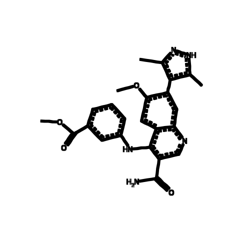 COC(=O)c1cccc(Nc2c(C(N)=O)cnc3cc(-c4c(C)n[nH]c4C)c(OC)cc23)c1